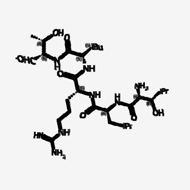 CC[C@H](C)[C@H](NC(=O)[C@@H](CCCNC(=N)N)NC(=O)[C@H](CC(C)C)NC(=O)[C@@H](N)[C@H](O)C(C)C)C(=O)N[C@H]([C]=O)[C@H](C)O